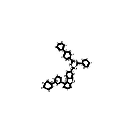 C1=CC(c2cccc3oc4cc(-c5nc(-c6ccccc6)nc(-c6ccc(-c7ccccc7)cc6)n5)ccc4c23)CC(c2ccccc2)=C1